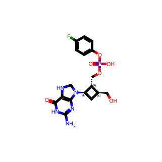 Nc1nc2c(c(=O)[nH]1)NCN2[C@@H]1C[C@H](CO)[C@H]1COP(=O)(O)Oc1ccc(F)cc1